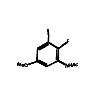 COc1cc(C)c(F)c(NC(C)=O)c1